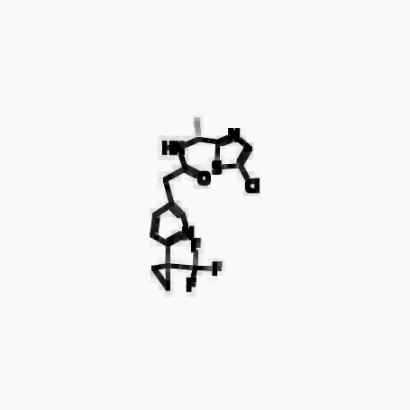 C[C@@H](NC(=O)Cc1ccc(C2(C(F)(F)F)CC2)nc1)c1ncc(Cl)s1